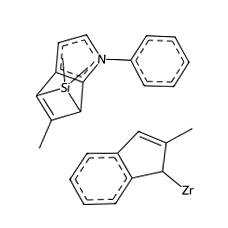 CC1=C2c3ccn(-c4ccccc4)c3C1[Si]2(C)C.CC1=Cc2ccccc2[CH]1[Zr]